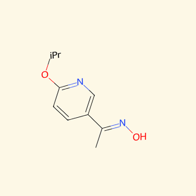 CC(=NO)c1ccc(OC(C)C)nc1